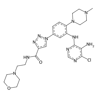 CN1CCN(c2ccc(-n3cc(C(=O)NCCN4CCOCC4)nn3)cc2Nc2ncnc(Cl)c2N)CC1